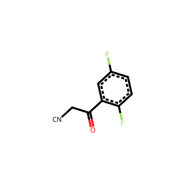 [C-]#[N+]CC(=O)c1cc(F)ccc1F